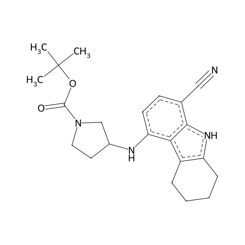 CC(C)(C)OC(=O)N1CCC(Nc2ccc(C#N)c3[nH]c4c(c23)CCCC4)C1